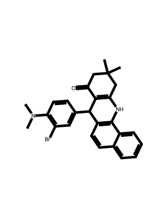 CN(C)c1ccc(C2C3=C(CC(C)(C)CC3=O)Nc3c2ccc2ccccc32)cc1Br